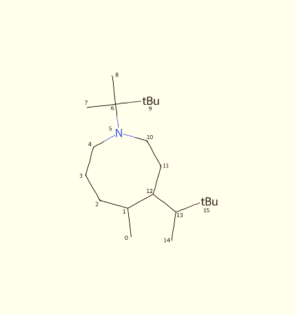 CC1CCCN(C(C)(C)C(C)(C)C)CCC1C(C)C(C)(C)C